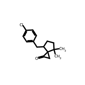 CC1(C)CCC(Cc2ccc(Cl)cc2)C12CC2=O